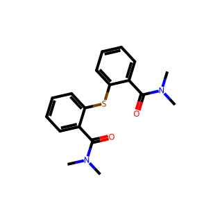 CN(C)C(=O)c1ccccc1Sc1ccccc1C(=O)N(C)C